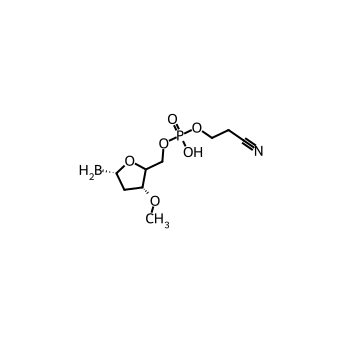 B[C@H]1C[C@@H](OC)C(COP(=O)(O)OCCC#N)O1